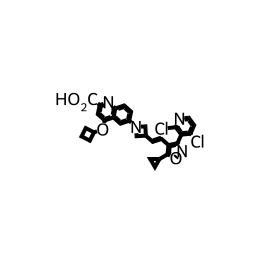 O=C(O)c1cc(OC2CCC2)c2cc(N3CC(/C=C/c4c(-c5c(Cl)ccnc5Cl)noc4C4CC4)C3)ccc2n1